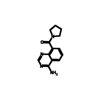 Nc1ncnc2c(C(=O)N3CCCC3)cccc12